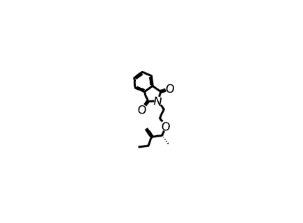 C=C(CC)[C@@H](C)OCCN1C(=O)c2ccccc2C1=O